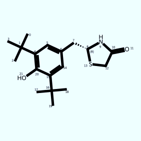 CC(C)(C)c1cc(C[C@@H]2NC(=O)CS2)cc(C(C)(C)C)c1O